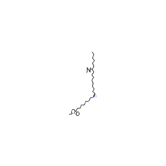 CCCCCCC(CCCCCCCC/C=C\CCCCCCCC(=O)OCC)N(C)C